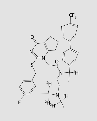 [2H]C([2H])(C)N(CCN(C(=O)Cn1c(SCc2ccc(F)cc2)nc(=O)c2c1CCC2)C([2H])(C)c1ccc(-c2ccc(C(F)(F)F)cc2)cc1)C([2H])([2H])C